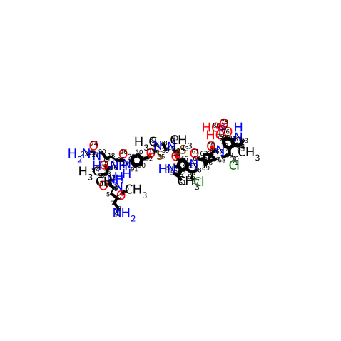 CC(=O)N[C@@H](CCCCN)C(=O)N[C@H](C(=O)N[C@@H](CCCNC(N)=O)C(=O)Nc1ccc(COC(=S)N(C)CCN(C)C(=S)Oc2cc3c(c4c(C)c[nH]c24)[C@H](CCl)CN3C(=O)C23CC4(C(=O)N5C[C@@H](CCl)c6c5cc(OP(=O)(O)O)c5[nH]cc(C)c65)CC24C3)cc1)C(C)C